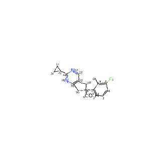 Cc1c(F)cccc1[C@@]1(C(=O)O)Cc2cnc(C3CC3)nc2C1